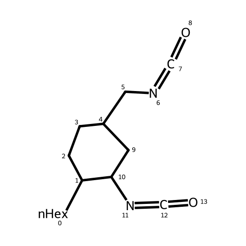 CCCCCCC1CCC(CN=C=O)CC1N=C=O